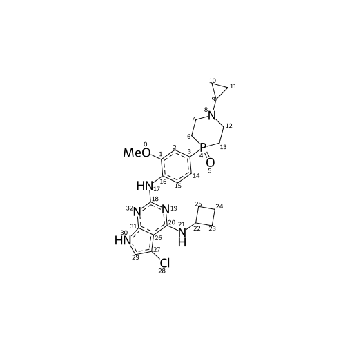 COc1cc(P2(=O)CCN(C3CC3)CC2)ccc1Nc1nc(NC2CCC2)c2c(Cl)c[nH]c2n1